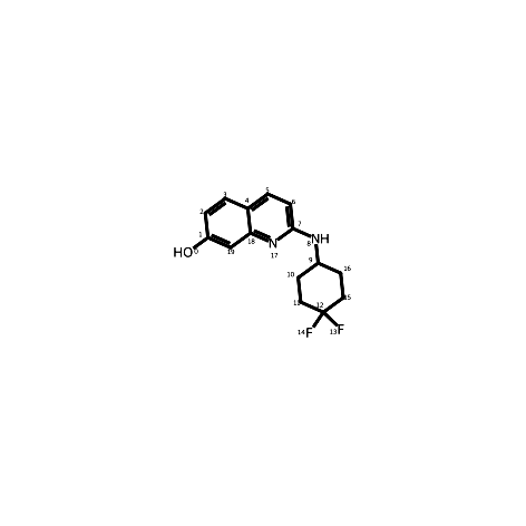 Oc1ccc2ccc(NC3CCC(F)(F)CC3)nc2c1